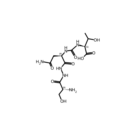 CC(O)[C@H](NC(=O)N[C@H](CC(N)=O)C(=O)NNC(=O)[C@H](N)CO)C(=O)O